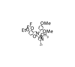 CCOc1cccc(CN(Cc2ccc(OC)cc2OC)C(=O)c2cc(C3CC3)nn2C)c1OC(F)F